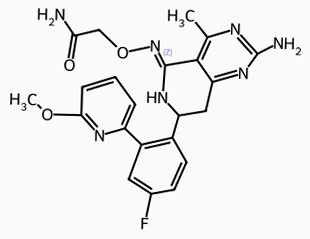 COc1cccc(-c2cc(F)ccc2C2Cc3nc(N)nc(C)c3/C(=N/OCC(N)=O)N2)n1